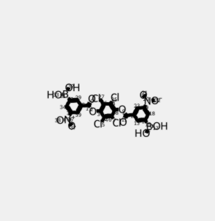 O=C(Oc1c(Cl)c(Cl)c(OC(=O)c2cc(B(O)O)cc([N+](=O)[O-])c2)c(Cl)c1Cl)c1cc(B(O)O)cc([N+](=O)[O-])c1